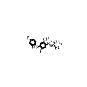 CCN(C)/C=N/c1cc(F)c(Nc2ccc(F)cc2)cc1C